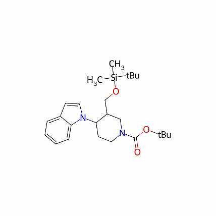 CC(C)(C)OC(=O)N1CCC(n2ccc3ccccc32)C(CO[Si](C)(C)C(C)(C)C)C1